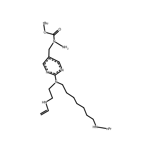 C=CNCCN(CCCCCCCNCCC)c1ncc(CN(N)C(=O)OC(C)(C)C)cn1